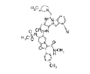 CNC(=O)c1c(-c2ccc(C)cc2)oc2cc(N(C)S(C)(=O)=O)c(-c3ccc4nc(CN5CC[C@@H](C)C5)n5c6cccc(C#N)c6cc5c4n3)cc12